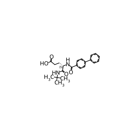 CC(C)(C)NC(=O)[C@H](CCC(=O)O)NC(=O)c1ccc(-c2ccccc2)cc1